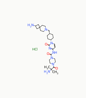 CC(C)(N)C(=O)N1CCN(C(=O)Nc2ccn([C@H]3CC[C@H](CN4CCC5(CC4)CC(N)C5)CC3)c(=O)n2)CC1.Cl